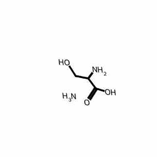 N.NC(CO)C(=O)O